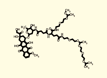 COc1cccc2c1C(=O)c1c(O)c3c(c(O)c1C2=O)C[C@@](O)(C(=O)CO)C[C@@H]3OC1CC(NC(=O)CCC(=O)NC(CCC(=O)NCCOCCOC(C)OCCOCCOC(C)C)C(=O)NCCOCCOC(C)OC)C(O)C(C)O1